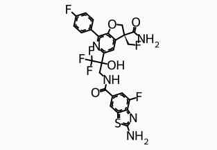 NC(=O)[C@@]1(CF)COc2c1cc(C(O)(CNC(=O)c1cc(F)c3nc(N)sc3c1)C(F)(F)F)nc2-c1ccc(F)cc1